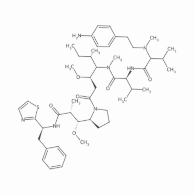 CC[C@H](C)C([C@@H](CC(=O)N1CCC[C@H]1[C@H](OC)[C@@H](C)C(=O)N[C@@H](Cc1ccccc1)c1nccs1)OC)N(C)C(=O)[C@@H](NC(=O)C(C(C)C)N(C)CCc1ccc(N)cc1)C(C)C